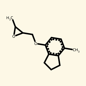 Cc1ccc(OCC2OC2C)c2c1CCC2